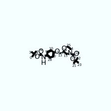 CC(C)(C)OC(=O)Nc1ccc(OC[C@@H]2CN(C(=O)OC(C)(C)C)CCO2)cc1